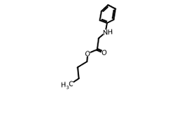 CCCCOC(=O)CNc1ccccc1